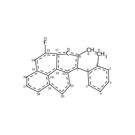 Cc1ccccc1-c1c(C)cc2c(F)cc3cccc4ccc1c2c43